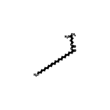 CCCCCCCCC=CCCCCCCCCCCCC(=O)OC(=O)OCCCC(C)C